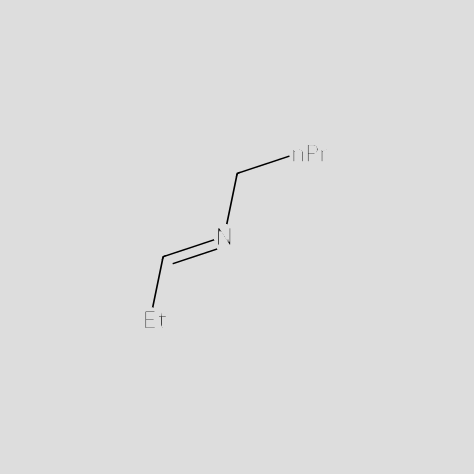 CC/C=N/CCCC